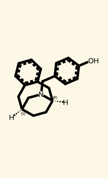 Oc1ccc(CN2C[C@H]3CC[C@@H]2Cc2ccccc2C3)cc1